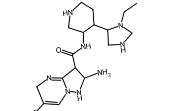 CCN1CNCC1C1CCNCC1NC(=O)C1C2=NCC(F)=CN2NC1N